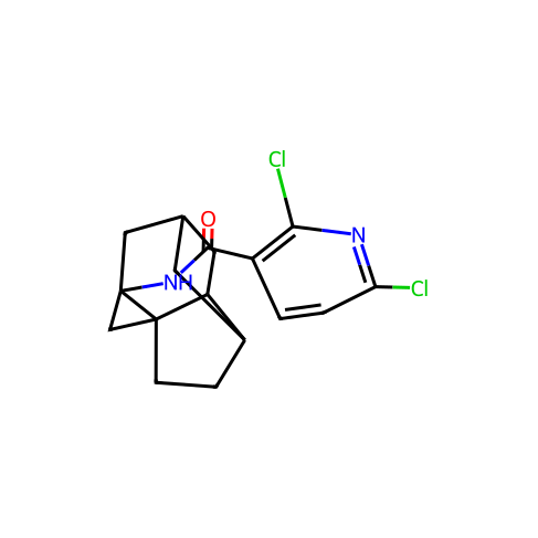 O=C(NC12CC3CC4CCC1(C2)C4C3)c1ccc(Cl)nc1Cl